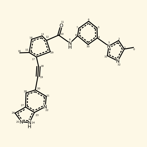 Cc1cn(-c2cccc(NC(=O)c3ccc(C)c(C#Cc4cnc5[nH]ncc5c4)c3)c2)cn1